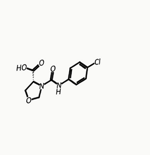 O=C(O)[C@H]1COCN1C(=O)Nc1ccc(Cl)cc1